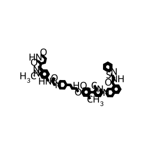 Cc1cc(OCCCC2CCN(CC(=O)Nc3ccc4c(C5CCC(=O)NC5=O)nn(C)c4c3)CC2)ccc1-c1ccc(N2CCc3cccc(C(=O)Nc4nc5ccccc5s4)c3C2)nc1C(=O)O